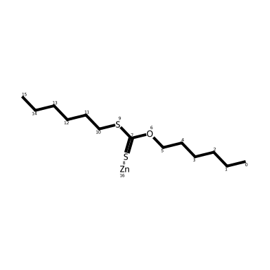 CCCCCCOC(=S)SCCCCCC.[Zn]